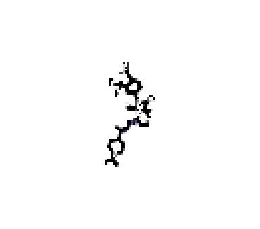 C=C/C(=C\C=C(/C)C1CCN(C(C)C)CC1)N1C(=S)N(c2ccc(C#N)c(C(F)(F)F)c2)C(=O)C1(C)C